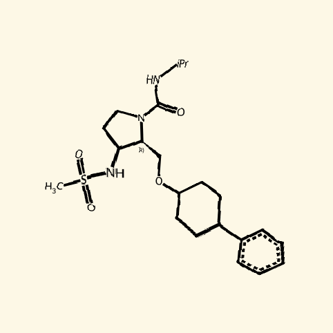 CC(C)NC(=O)N1CCC(NS(C)(=O)=O)[C@@H]1COC1CCC(c2ccccc2)CC1